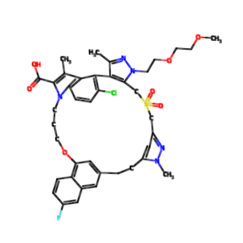 COCCOCCn1nc(C)c2c1CS(=O)(=O)Cc1cc(n(C)n1)CCc1cc(c3ccc(F)cc3c1)OCCCn1c(C(=O)O)c(C)c3c-2c(Cl)ccc31